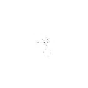 Cn1cc(C2CCC2)c(=O)n1-c1ccccc1